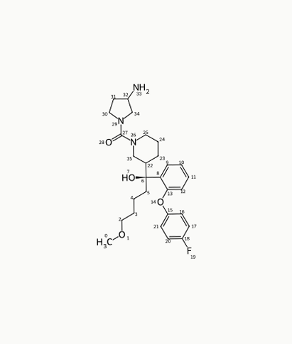 COCCCC[C@@](O)(c1ccccc1Oc1ccc(F)cc1)C1CCCN(C(=O)N2CCC(N)C2)C1